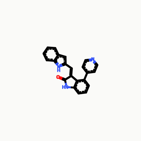 O=C1Nc2cccc(-c3ccncc3)c2C1=Cc1cc2ccccc2[nH]1